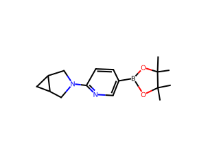 CC1(C)OB(c2ccc(N3CC4CC4C3)nc2)OC1(C)C